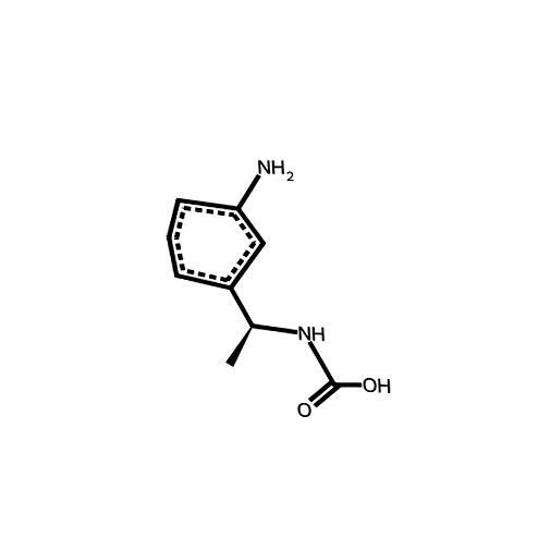 C[C@H](NC(=O)O)c1cccc(N)c1